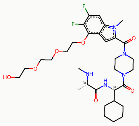 CN[C@@H](C)C(=O)N[C@H](C(=O)N1CCN(C(=O)c2cc3c(OCCOCCOCCO)c(F)c(F)cc3n2C)CC1)C1CCCCC1